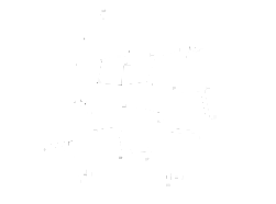 C=C(S)C1=NC(C)(C(=C)CO)C(C)(CCOC)c2c1cc(C(C)(C)C)c1ccccc21